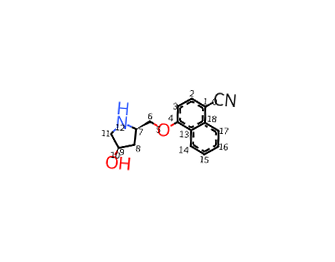 N#Cc1ccc(OC[C@H]2C[C@@H](O)CN2)c2ccccc12